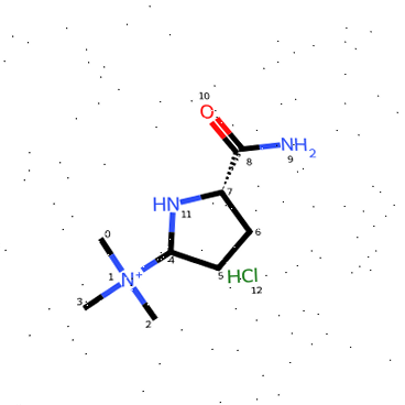 C[N+](C)(C)C1CC[C@@H](C(N)=O)N1.Cl